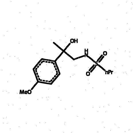 CCCS(=O)(=O)NCC(C)(O)c1ccc(OC)cc1